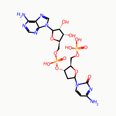 Nc1ccn(C2C[C@H](OP(=O)(O)OC[C@H]3OC(n4cnc5c(N)ncnc54)[C@H](O)[C@@H]3O)[C@@H](COP(=O)(O)O)O2)c(=O)n1